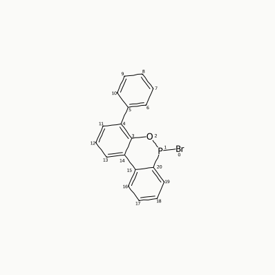 BrP1Oc2c(-c3ccccc3)cccc2-c2ccccc21